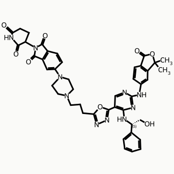 CC1(C)OC(=O)c2ccc(Nc3ncc(-c4nnc(CCCN5CCN(c6ccc7c(c6)C(=O)N(C6CCC(=O)NC6=O)C7=O)CC5)o4)c(N[C@H](CO)c4ccccc4)n3)cc21